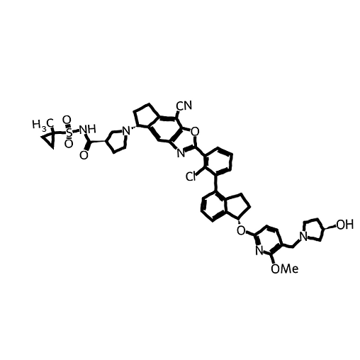 COc1nc(O[C@H]2CCc3c(-c4cccc(-c5nc6cc7c(c(C#N)c6o5)CC[C@H]7N5CC[C@@H](C(=O)NS(=O)(=O)C6(C)CC6)C5)c4Cl)cccc32)ccc1CN1CC[C@@H](O)C1